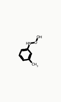 Cc1cccc(NOO)c1